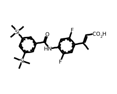 CC(=CC(=O)O)c1cc(F)c(NC(=O)c2cc([Si](C)(C)C)cc([Si](C)(C)C)c2)cc1F